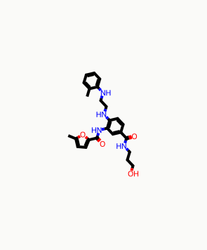 Cc1ccc(C(=O)Nc2cc(C(=O)NCCCO)ccc2NCCNc2ccccc2C)o1